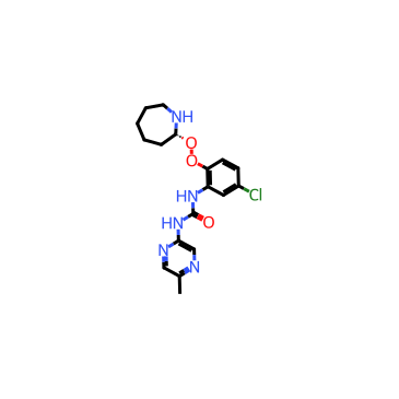 Cc1cnc(NC(=O)Nc2cc(Cl)ccc2OO[C@@H]2CCCCCN2)cn1